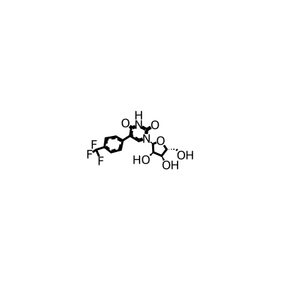 O=c1[nH]c(=O)n([C@@H]2O[C@H](CO)[C@@H](O)[C@H]2O)cc1-c1ccc(C(F)(F)F)cc1